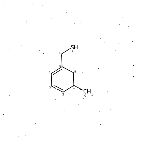 CC1C=CC=C(CS)C1